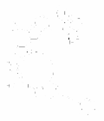 C[C@H]1NC(=O)c2ccc(C#Cc3ccccc3)nc2CCCCCn2c(-c3nc4cc(C(=O)N5C[C@H](N)[C@H]6CC[C@@H]5C6)cc(F)c4n3C3CC3)cc3ccc1nc32